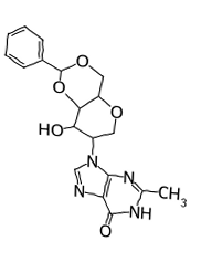 Cc1nc2c(ncn2C2COC3COC(c4ccccc4)OC3C2O)c(=O)[nH]1